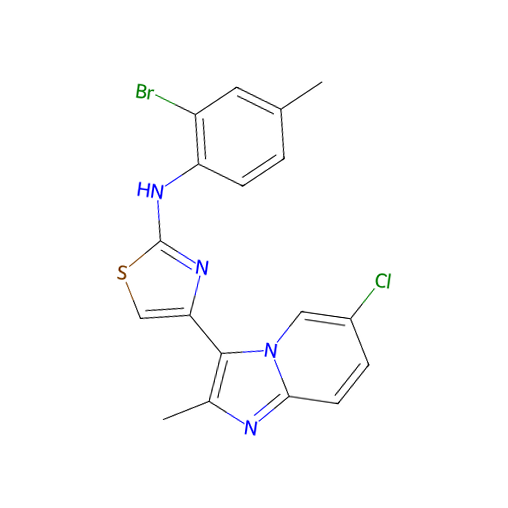 Cc1ccc(Nc2nc(-c3c(C)nc4ccc(Cl)cn34)cs2)c(Br)c1